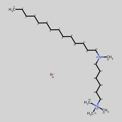 CCCCCCCCCCCCCCN(C)CCCCCC[N+](C)(C)C.[Br-]